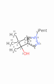 [CH2]C(O)(c1cnn(C(C)CCC)c1)[Si](C)(C)C